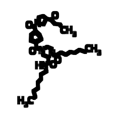 CCCCCCCCNC(=O)C1CN(C(=O)c2ccc(C(=O)N3CCC(C(=O)CCC)C3)cc2)CCN1C(=O)CCCCCCC